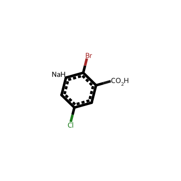 O=C(O)c1cc(Cl)ccc1Br.[NaH]